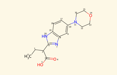 CCC(C(=O)O)c1nc2cc(N3CCOCC3)ccc2[nH]1